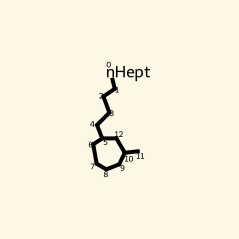 [CH2]CCCCCCCCCCC1CCCCC(C)C1